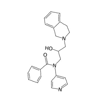 O=C(c1ccccc1)N(CC(O)CN1CCc2ccccc2C1)c1ccncc1